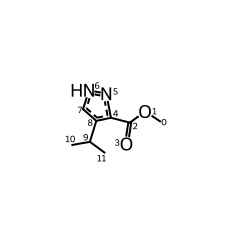 COC(=O)c1n[nH]cc1C(C)C